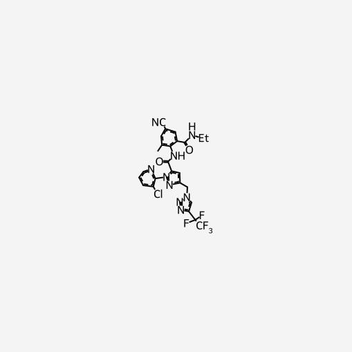 CCNC(=O)c1cc(C#N)cc(C)c1NC(=O)c1cc(Cn2cc(C(F)(F)C(F)(F)F)nn2)nn1-c1ncccc1Cl